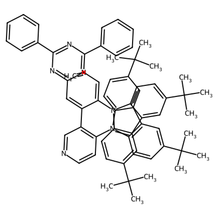 C=C/C=C(\C(=C/c1nc(-c2ccccc2)nc(-c2ccccc2)n1)c1cnccc1-n1c2ccc(C(C)(C)C)cc2c2cc(C(C)(C)C)ccc21)n1c2ccc(C(C)(C)C)cc2c2cc(C(C)(C)C)ccc21